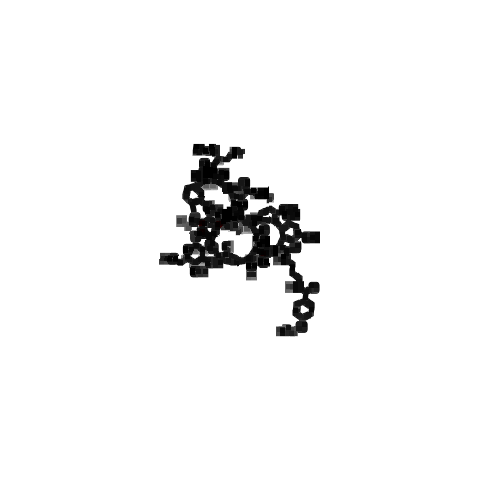 CCCCOc1ccc(C(=O)NCCCNC(=O)C2NC(=O)[C@H]3NC(=O)[C@H](NC(=O)C4NC(=O)[C@H](CC(N)=O)NC(=O)[C@H](NC(=O)[C@@H](CC(C)C)NC)[C@H](O)c5ccc(c(Cl)c5)Oc5cc4cc(c5O[C@@H]4O[C@H](CO)[C@@H](O)[C@H](O)[C@H]4OC4C[C@](C)(N)[C@H](O)[C@H](C)O4)Oc4ccc(cc4Cl)[C@H]3O)c3ccc(O)c(c3)-c3c(O)cc(O)cc32)cc1